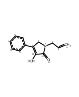 C=CCN1CC(c2ccccc2)=C(O)C1=O